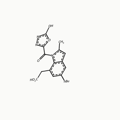 CCCCc1cc(CC(=O)O)c2c(c1)cc(C)n2C(=O)c1nnc(O)o1